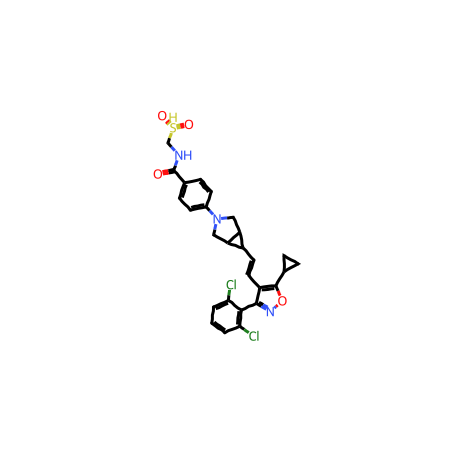 O=C(NC[SH](=O)=O)c1ccc(N2CC3C(/C=C/c4c(-c5c(Cl)cccc5Cl)noc4C4CC4)C3C2)cc1